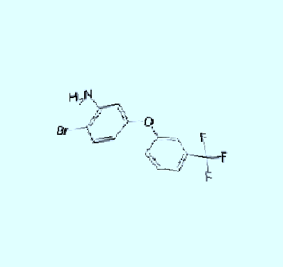 Nc1cc(Oc2cccc(C(F)(F)F)c2)ccc1Br